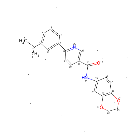 CC(C)c1cccc(-c2ccc(C(=O)Nc3ccc4c(c3)OCCO4)cn2)c1